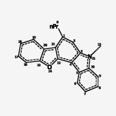 CCCc1cc2c(c3ccccc3n2C)c2oc3ccccc3c12